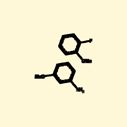 COc1cccc(N)c1.COc1ccccc1F